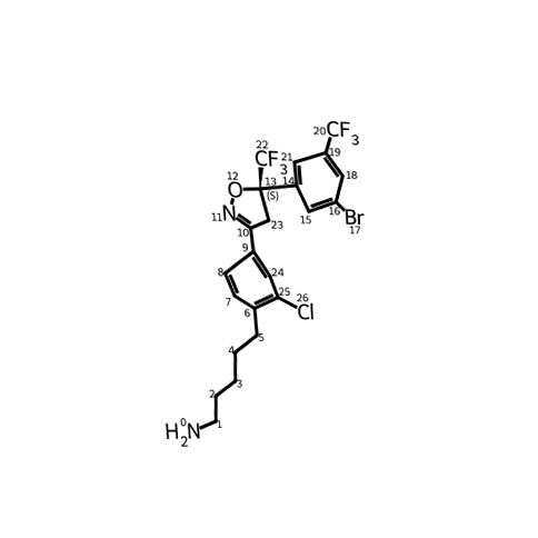 NCCCCCc1ccc(C2=NO[C@@](c3cc(Br)cc(C(F)(F)F)c3)(C(F)(F)F)C2)cc1Cl